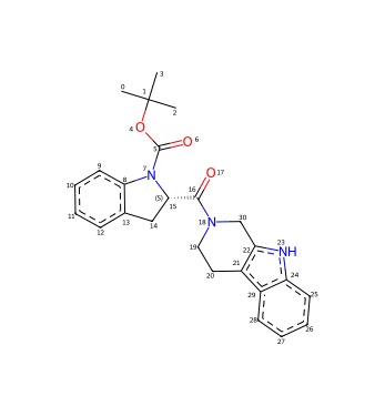 CC(C)(C)OC(=O)N1c2ccccc2C[C@H]1C(=O)N1CCc2c([nH]c3ccccc23)C1